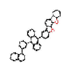 C1=CC2Oc3c(ccc4c3oc3ccc(-c5c6ccccc6c(-c6cccc(-c7cccc8ccccc78)c6)c6ccccc56)cc34)C2C=C1